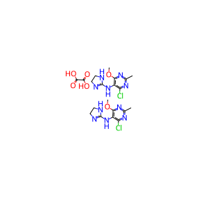 COc1nc(C)nc(Cl)c1NC1=NCCN1.COc1nc(C)nc(Cl)c1NC1=NCCN1.O=C(O)C(=O)O